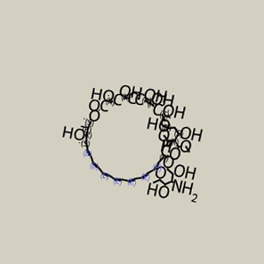 COC(=O)[C@H]1[C@@H]2C[C@@H](OC3OC(C)C(O)C(N)C3O)/C=C/C=C/C=C/C=C/C=C/C=C/C=C/[C@H](C)[C@@H](O)[C@@H](C)[C@H](C)OC(=O)C[C@H](O)C[C@H](O)CC[C@@H](O)[C@H](O)C[C@H](O)C[C@](O)(C[C@@H]1O)O2